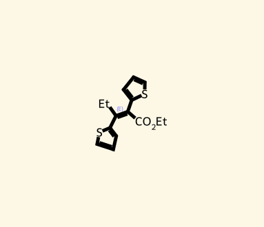 CCOC(=O)/C(=C(/CC)c1cccs1)c1cccs1